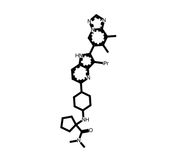 Cc1c(-c2[nH]c3ccc(C4CCC(NC5(C(=O)N(C)C)CCCC5)CC4)nc3c2C(C)C)cn2ncnc2c1C